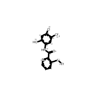 CCSc1cccnc1C(=O)Nc1cc(C(F)(F)F)c(Cl)cc1O